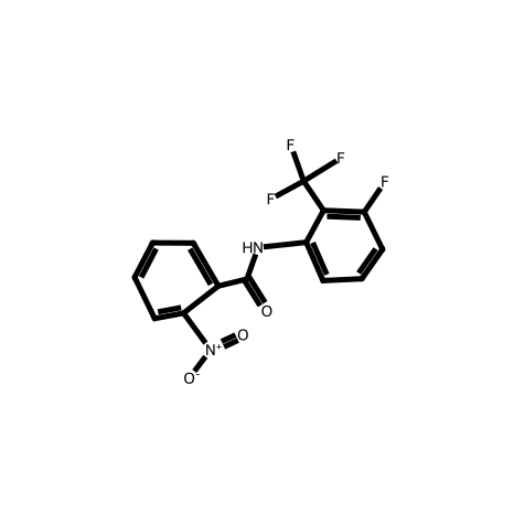 O=C(Nc1cccc(F)c1C(F)(F)F)c1ccccc1[N+](=O)[O-]